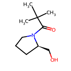 CC(C)(C)C(=O)N1CCC[C@@H]1CO